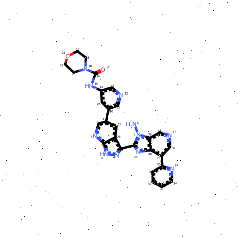 Nn1c(-c2n[nH]c3ncc(-c4cncc(NC(=O)N5CCOCC5)c4)cc23)nc2c(-c3ccccn3)cncc21